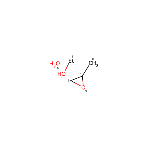 CC1CO1.CCO.O